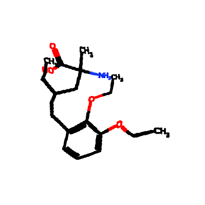 CCOc1cccc(CC(CC)CC(C)(N)C(=O)O)c1OCC